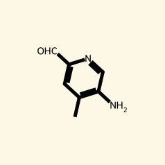 Cc1cc(C=O)ncc1N